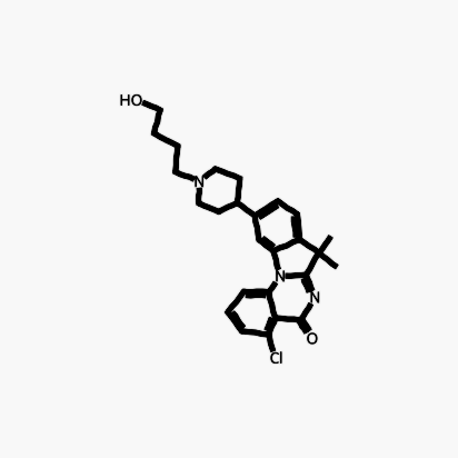 CC1(C)c2ccc(C3CCN(CCCCO)CC3)cc2-n2c1nc(=O)c1c(Cl)cccc12